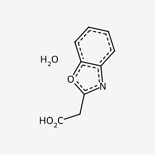 O.O=C(O)Cc1nc2ccccc2o1